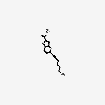 CCCCCC#Cc1ccn2nc(C(=O)OC)cc2n1